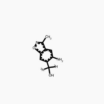 [2H]C([2H])(O)c1cc2onc(C)c2cc1N